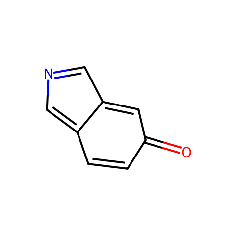 O=C1C=CC2=CN=CC2=C1